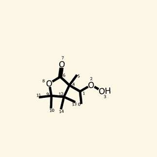 CC(OO)C1(C)C(=O)OC(C)(C)C1(C)C